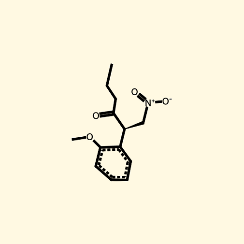 CCCC(=O)[C@@H](C[N+](=O)[O-])c1ccccc1OC